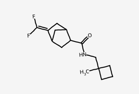 CC1(CNC(=O)C2CC3CC2CC3=C(F)F)CCC1